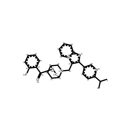 CC(C)c1ccc(-c2nc3ccccn3c2CN2CC3CCC2CN3C(=O)c2ccccc2F)cn1